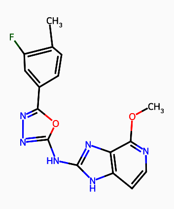 COc1nccc2[nH]c(Nc3nnc(-c4ccc(C)c(F)c4)o3)nc12